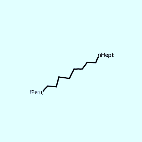 [CH2]C(CCC)CCCCCCCCCCCCCCC